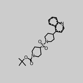 CC(C)(C)OC(=O)N1CCC(S(=O)(=O)N2CCC(c3ccnc4ccccc34)CC2)CC1